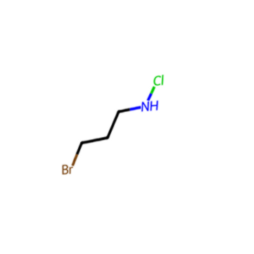 ClNCCCBr